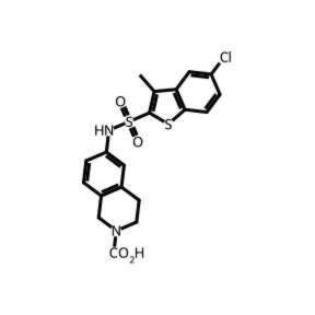 Cc1c(S(=O)(=O)Nc2ccc3c(c2)CCN(C(=O)O)C3)sc2ccc(Cl)cc12